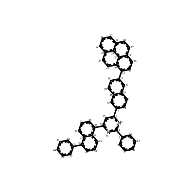 c1ccc(-c2nc(-c3ccc4cc(-c5ccc6ccc7cccc8ccc5c6c78)ccc4c3)cc(-c3cccc4c(-c5ccccc5)cccc34)n2)cc1